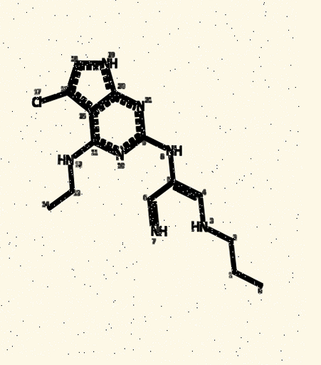 CCCN/C=C(\C=N)Nc1nc(NCC)c2c(Cl)c[nH]c2n1